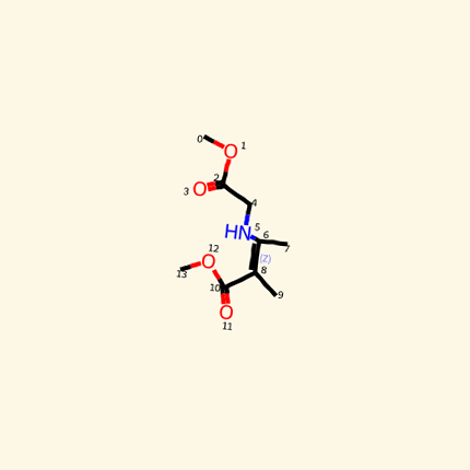 COC(=O)CN/C(C)=C(/C)C(=O)OC